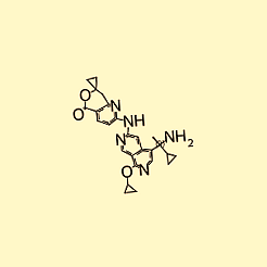 C[C@](N)(c1cnc(OC2CC2)c2cnc(Nc3ccc4c(n3)CC3(CC3)OC4=O)cc12)C1CC1